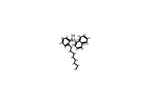 CCCCCCCCc1ccccc1[AsH]c1cccc2ccccc12